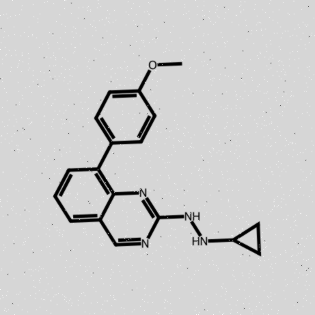 COc1ccc(-c2cccc3cnc(NNC4CC4)nc23)cc1